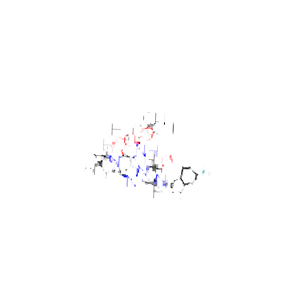 CC(C)(C)OC(=O)N[C@@H](CN1C[C@@H]2C[C@H]1C(=O)N2[C@@H]1CCc2cc(F)ccc21)C(=O)N1[C@H](C#N)C[C@@H]2C[C@@H]21